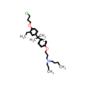 CCCCN(CCC)CCCOc1ccc(C(C)(C)c2ccc(OCCCCl)c(CC)c2)cc1